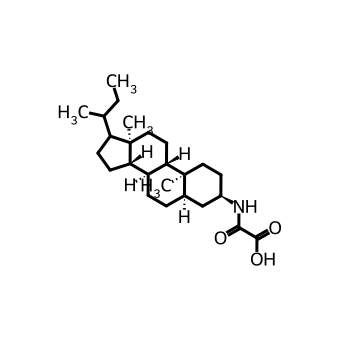 CCC(C)C1CC[C@H]2[C@@H]3CC[C@@H]4C[C@H](NC(=O)C(=O)O)CC[C@]4(C)[C@H]3CC[C@]12C